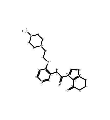 CN1CCN(CCOc2ccncc2NC(=O)c2c[nH]c3c2C(=O)CCC3)CC1